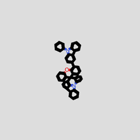 c1ccc(-n2c3ccccc3c3cc(-c4cccc5c4Oc4ccccc4C54c5ccccc5-n5c6ccccc6c6cccc4c65)ccc32)cc1